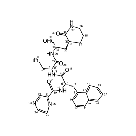 CC(C)C[C@H](NC(=O)[C@H](Cc1cccc2ccccc12)NC(=O)c1cnccn1)C(=O)N[C@H](C=O)C[C@@H]1CCCNC1=O